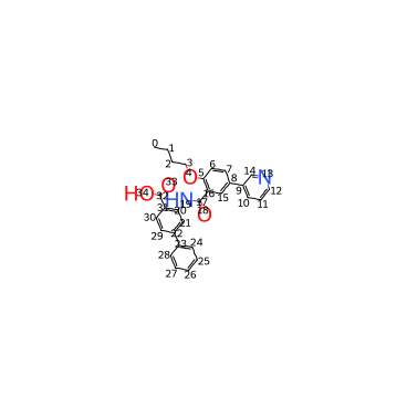 CCCCOc1ccc(-c2cccnc2)cc1C(=O)Nc1cc(-c2ccccc2)ccc1C(=O)O